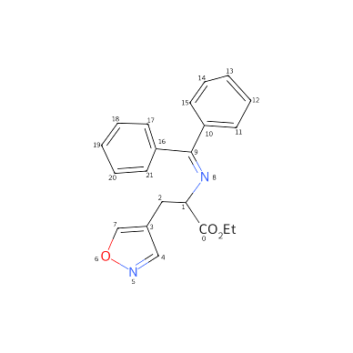 CCOC(=O)C(Cc1cnoc1)N=C(c1ccccc1)c1ccccc1